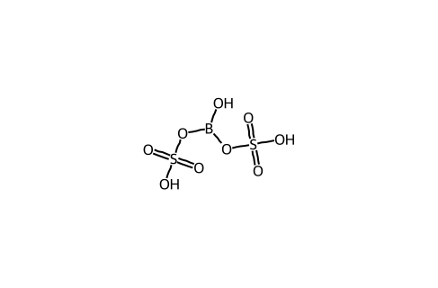 O=S(=O)(O)OB(O)OS(=O)(=O)O